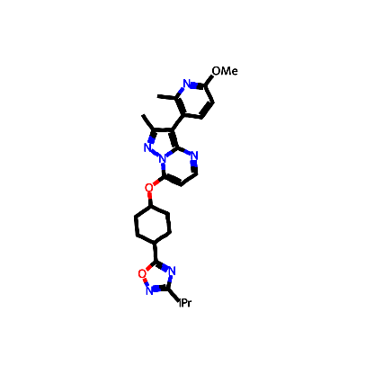 COc1ccc(-c2c(C)nn3c(OC4CCC(c5nc(C(C)C)no5)CC4)ccnc23)c(C)n1